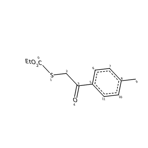 CCOC(=O)SCC(=O)c1ccc(C)cc1